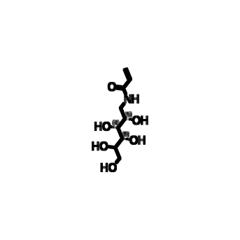 C=CC(=O)NC[C@H](O)[C@@H](O)[C@H](O)C(O)CO